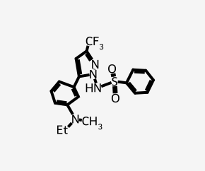 CCN(C)c1cccc(-c2cc(C(F)(F)F)nn2NS(=O)(=O)c2ccccc2)c1